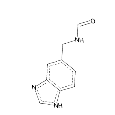 O=CNCc1ccc2[nH]cnc2c1